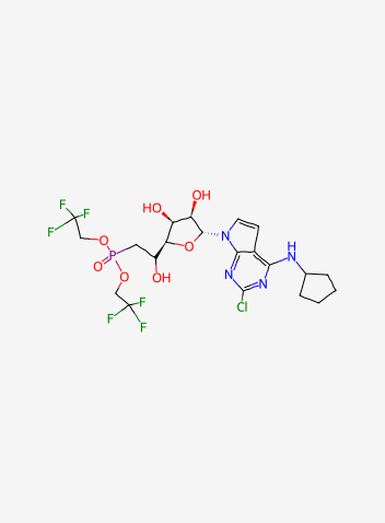 O=P(CC(O)[C@@H]1O[C@@H](n2ccc3c(NC4CCCC4)nc(Cl)nc32)[C@H](O)[C@@H]1O)(OCC(F)(F)F)OCC(F)(F)F